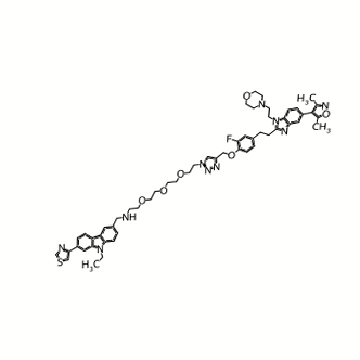 CCn1c2ccc(CNCCOCCOCCOCCn3cc(COc4ccc(CCc5nc6cc(-c7c(C)noc7C)ccc6n5CCN5CCOCC5)cc4F)nn3)cc2c2ccc(-c3cscn3)cc21